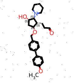 COc1ccc(-c2ccc(CO[C@@H]3C[C@H](O)[C@@H](N4CCCCC4)[C@@H]3CCC=O)cc2)cc1